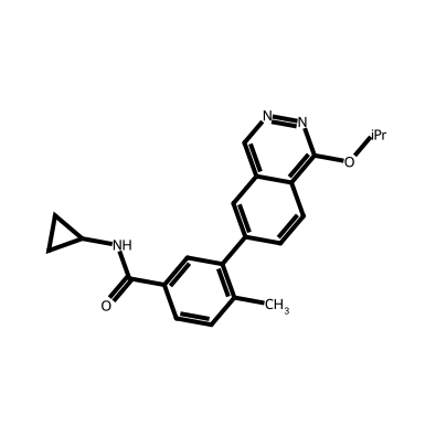 Cc1ccc(C(=O)NC2CC2)cc1-c1ccc2c(OC(C)C)nncc2c1